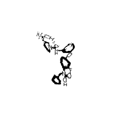 CN(C)C[C@@H]1CCN(C(=O)Nc2cc(Oc3ccc(N(Cc4ccccc4)C(=O)O)c(F)c3)ccn2)C1